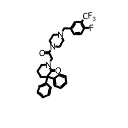 O=C(CN1CCCC(c2ccccc2)(c2ccccc2)C1=O)N1CCN(Cc2ccc(F)c(C(F)(F)F)c2)CC1